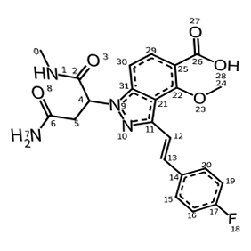 CNC(=O)C(CC(N)=O)n1nc(C=Cc2ccc(F)cc2)c2c(OC)c(C(=O)O)ccc21